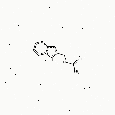 N=C(N)NCc1cc2ccccc2[nH]1